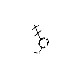 NNc1cc(C(F)(F)C(F)(F)F)ncn1